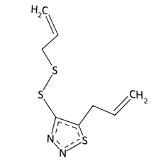 C=CCSSc1nnsc1CC=C